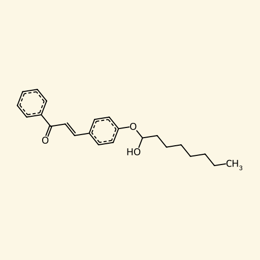 CCCCCCCC(O)Oc1ccc(C=CC(=O)c2ccccc2)cc1